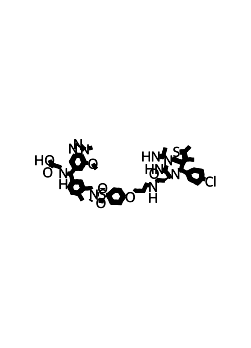 COc1cc(C(NCC(=O)O)c2ccc(C)c(CN(C)S(=O)(=O)c3ccc(OCCCNC(=O)C[C@@H]4N=C(c5ccc(Cl)cc5)c5c(sc(C)c5C)N(C(C)=N)C4=N)cc3)c2)cc2nnn(C)c12